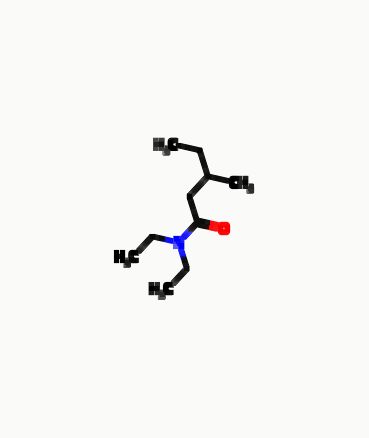 CCC(C)CC(=O)N(CC)CC